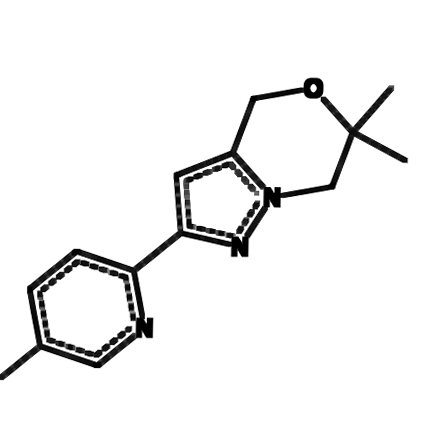 CC1(C)Cn2nc(-c3ccc(F)cn3)cc2CO1